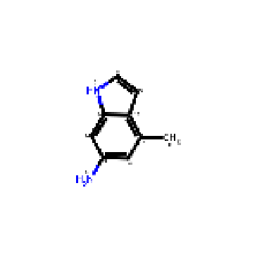 Cc1cc(N)cc2[nH]ccc12